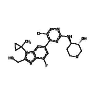 CC1(n2c(CO)nc3c(F)cc(-c4nc(N[C@@H]5CCOC[C@H]5O)ncc4Cl)cc32)CC1